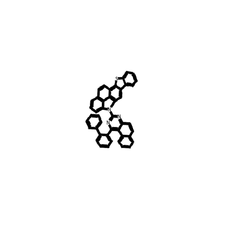 c1ccc(-c2ccccc2-c2nc(-n3c4cccc5ccc6c7sc8ccccc8c7cc3c6c54)nc3ccc4ccccc4c23)cc1